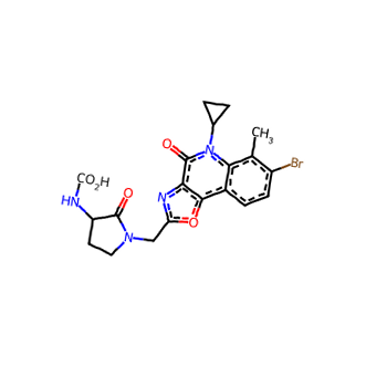 Cc1c(Br)ccc2c3oc(CN4CCC(NC(=O)O)C4=O)nc3c(=O)n(C3CC3)c12